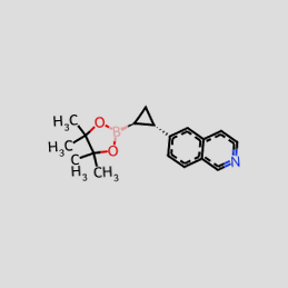 CC1(C)OB([C@H]2C[C@@H]2c2ccc3cnccc3c2)OC1(C)C